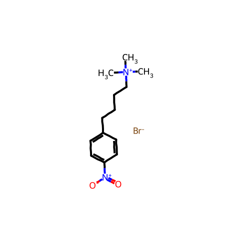 C[N+](C)(C)CCCCc1ccc([N+](=O)[O-])cc1.[Br-]